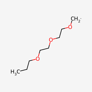 [CH2]OCCOCCOCCC